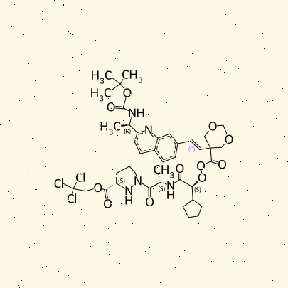 C[C@H](NC(=O)[C@@H](OOC(=O)C1(/C=C/c2ccc3ccc([C@@H](C)NC(=O)OC(C)(C)C)nc3c2)COCOC1)C1CCCC1)C(=O)N1CCC[C@@H](C(=O)OCC(Cl)(Cl)Cl)N1